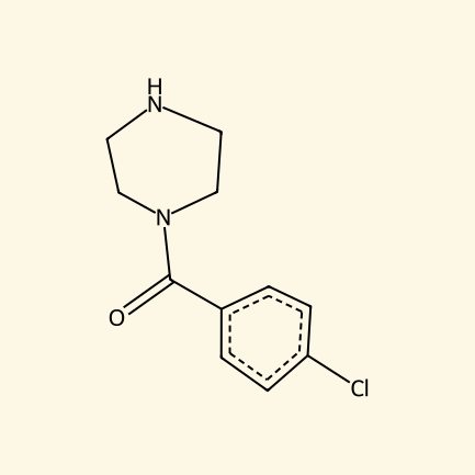 O=C(c1ccc(Cl)cc1)N1CCNCC1